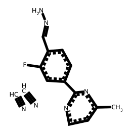 C#N.C#N.Cc1ccnc(-c2ccc(C=NN)c(F)c2)n1